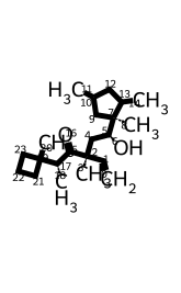 C=C[C@](C)(C[C@@H](O)[C@@]1(C)CC(C)CC1C)C(=O)[C@H](C)C1(C)CCC1